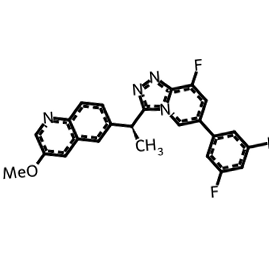 COc1cnc2ccc([C@H](C)c3nnc4c(F)cc(-c5cc(F)cc(I)c5)cn34)cc2c1